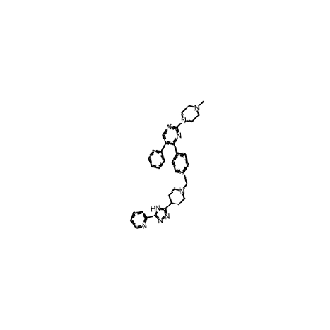 CN1CCN(c2ncc(-c3ccccc3)c(-c3ccc(CN4CCC(c5nnc(-c6ccccn6)[nH]5)CC4)cc3)n2)CC1